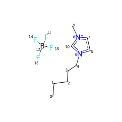 CCCCCn1cc[n+](C)c1.F[B-](F)(F)F